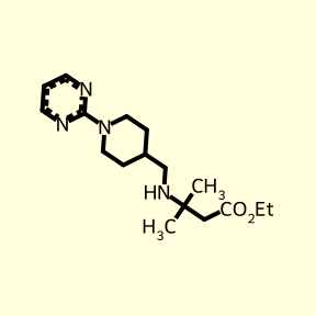 CCOC(=O)CC(C)(C)NCC1CCN(c2ncccn2)CC1